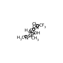 Cc1ccc(SCC(C)C2CC(O)=C(c3ccc(Oc4ncc(C(F)(F)F)cc4Cl)cc3C)C(=O)O2)nc1